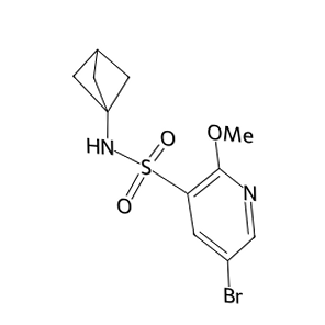 COc1ncc(Br)cc1S(=O)(=O)NC12CC(C1)C2